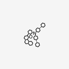 c1ccc(-c2ccc(N(c3ccc(-c4ccccc4)cc3)c3cccc4c3oc3c4ccc4ccc5ccccc5c43)cc2)cc1